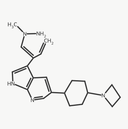 C=C/C(=C\N(C)N)c1c[nH]c2ncc(C3CCC(N4CCC4)CC3)cc12